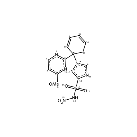 COc1ccnc(C2(n3cnc(S(=O)(=O)N[N+](=O)[O-])n3)C=CC=CC2)n1